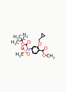 COC(=O)c1ccc(N(C(=O)OC(C)(C)C)S(C)(=O)=O)cc1OCC1CC1